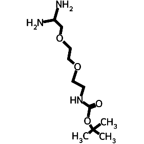 CC(C)(C)OC(=O)NCCOCCOCC(N)N